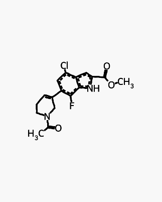 COC(=O)c1cc2c(Cl)cc(C3=CCCN(C(C)=O)C3)c(F)c2[nH]1